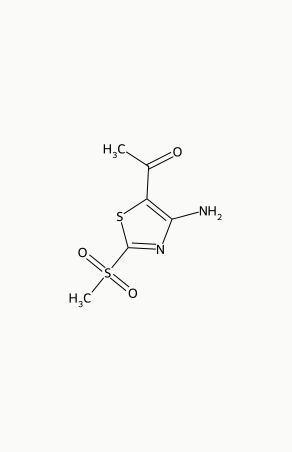 CC(=O)c1sc(S(C)(=O)=O)nc1N